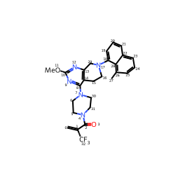 C=C(C(=O)N1CCN(c2nc(OC)nc3c2CCN(c2cccc4cccc(C)c24)C3)CC1)C(F)(F)F